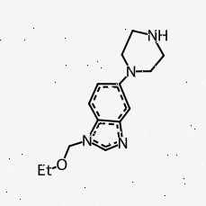 CCOCn1cnc2cc(N3CCNCC3)ccc21